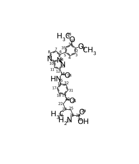 COc1ccc(-c2ccnc3cc(C(=O)Nc4ccc(C(=O)CC(C)C[C@H](N)C(=O)O)cc4)nn23)cc1OC